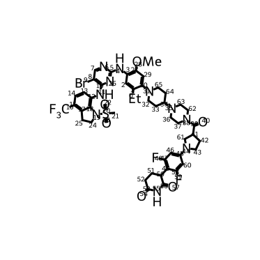 CCc1cc(Nc2ncc(Br)c(Nc3ccc(C(F)(F)F)c4c3N(S(C)(=O)=O)CC4)n2)c(OC)cc1N1CCC(N2CCN(C(=O)C3CCN(c4cc(F)c(C5CCC(=O)NC5=O)c(F)c4)C3)CC2)CC1